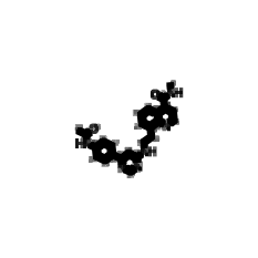 CNC(=O)c1ccnc2c(CCNc3cc(-c4ccc(NC(C)=O)cc4)ncn3)cccc12